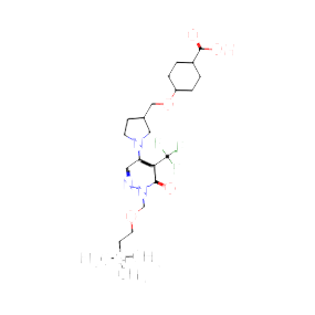 C[Si](C)(C)CCOCn1ncc(N2CCC(COC3CCC(C(=O)O)CC3)C2)c(C(F)(F)F)c1=O